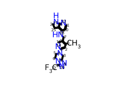 Cc1cc(N2CCn3c(nnc3C(F)(F)F)C2)ncc1CNc1ccnc2c1CCN2